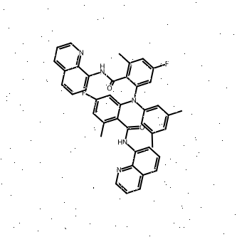 Cc1cc(C)cc(N(c2cc(F)cc(C)c2C(=O)Nc2cccc3cccnc23)c2cc(F)cc(C)c2C(=O)Nc2cccc3cccnc23)c1